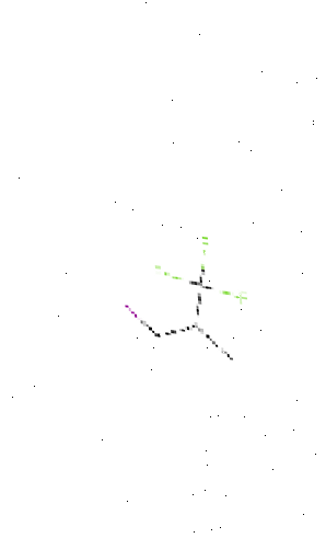 CC(CI)C(F)(F)F